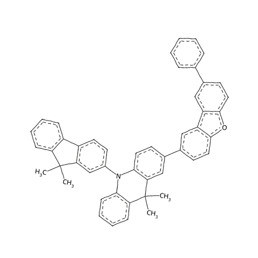 CC1(C)c2ccccc2-c2ccc(N3c4ccccc4C(C)(C)c4cc(-c5ccc6oc7ccc(-c8ccccc8)cc7c6c5)ccc43)cc21